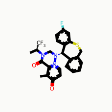 Cc1c2n(ccc1=O)N([C@H]1c3ccccc3CSc3cc(F)ccc31)CN([C@@H](C)C(F)(F)F)C2=O